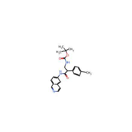 [CH2]c1ccc(C(CNC(=O)OC(C)(C)C)C(=O)Nc2ccc3cnccc3c2)cc1